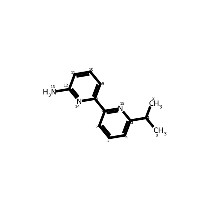 CC(C)c1cccc(-c2cccc(N)n2)n1